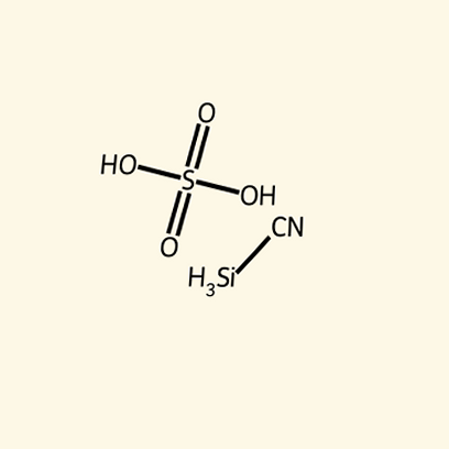 N#C[SiH3].O=S(=O)(O)O